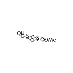 COc1ccc(-c2cc3c(s2)-c2ccc4c5c(ccc-3c25)-c2cc(-c3ccc(CO)cc3)sc2-4)cc1